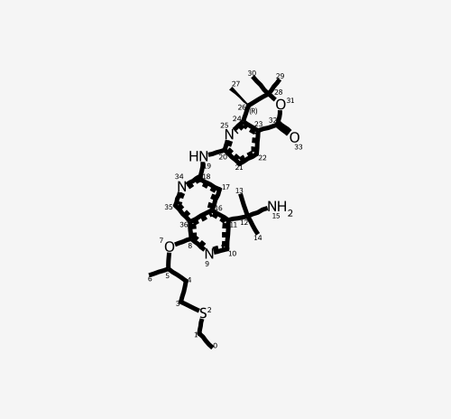 CCSCCC(C)Oc1ncc(C(C)(C)N)c2cc(Nc3ccc4c(n3)[C@@H](C)C(C)(C)OC4=O)ncc12